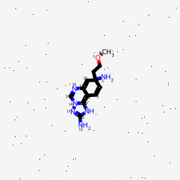 COCCC1(N)C=CC2=C3NC(N)=NN3C=NC2=C1